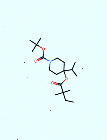 CCC(C)(C)C(=O)OC1(C(C)C)CCN(C(=O)OC(C)(C)C)CC1